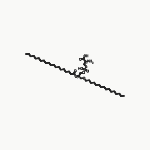 CCCCCCCCCCCCCCCCCCCC(=O)O[C@H](COCCCCCCCCCCCCCCCC)COP(=O)(O)OC[C@H](N)C(=O)O